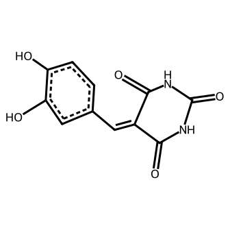 O=C1NC(=O)C(=Cc2ccc(O)c(O)c2)C(=O)N1